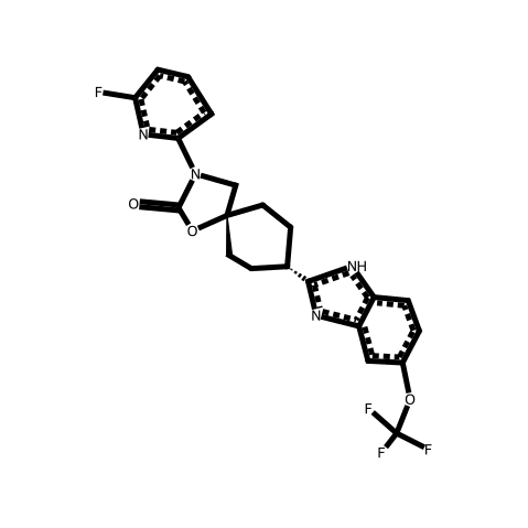 O=C1O[C@]2(CC[C@@H](c3nc4cc(OC(F)(F)F)ccc4[nH]3)CC2)CN1c1cccc(F)n1